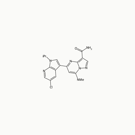 CNc1cc(-c2cn(C(C)C)c3ncc(Cl)cc23)nc2c(C(N)=O)cnn12